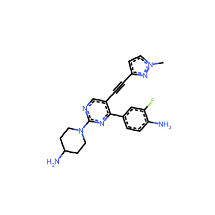 Cn1ccc(C#Cc2cnc(N3CCC(N)CC3)nc2-c2ccc(N)c(F)c2)n1